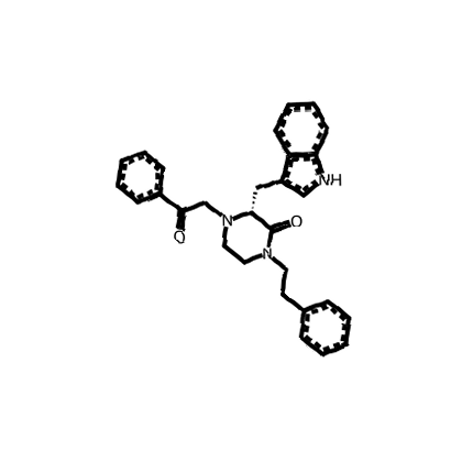 O=C(CN1CCN(CCc2ccccc2)C(=O)[C@H]1Cc1c[nH]c2ccccc12)c1ccccc1